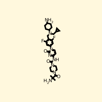 CC(C)(N)C(=O)N1CCN(C(=O)Nc2ccn(-c3cc(F)c(CN(CC4CC4)C4CCC(N)CC4)c(F)c3)c(=O)n2)CC1